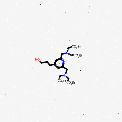 CCOC(=O)CN(CC(=O)OCC)Cc1cc(CCCO)cc(CN(CC(=O)OCC)CC(=O)OCC)n1